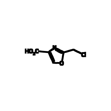 O=C(O)c1coc(CCl)n1